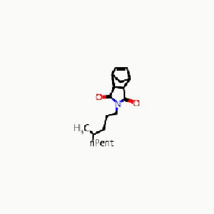 CCCCCC(C)CCCN1C(=O)C2C3C=CC(C3)C2C1=O